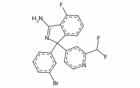 NC1=NC(c2cccc(Br)c2)(c2ccnc(C(F)F)c2)c2cccc(F)c21